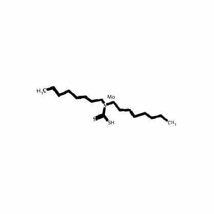 CCCCCCCCN(CCCCCCCC)C(=S)S.[Mo]